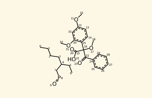 CCCCC(CC)CP=O.COc1ccc(C(OC)(C(=O)O)C(=O)c2ccccc2)c(OC)c1